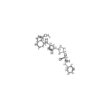 Cn1ncc2nccc(Nc3cc(C4CCC(OC(=O)NCc5cccnc5)C4)[nH]n3)c21